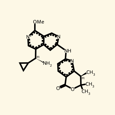 COc1ncc([C@H](N)C2CC2)c2cc(Nc3ccc4c(n3)[C@@H](C)C(C)(C)OC4=O)ncc12